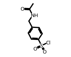 CC(=O)NCc1ccc(S(=O)(=O)Cl)cc1